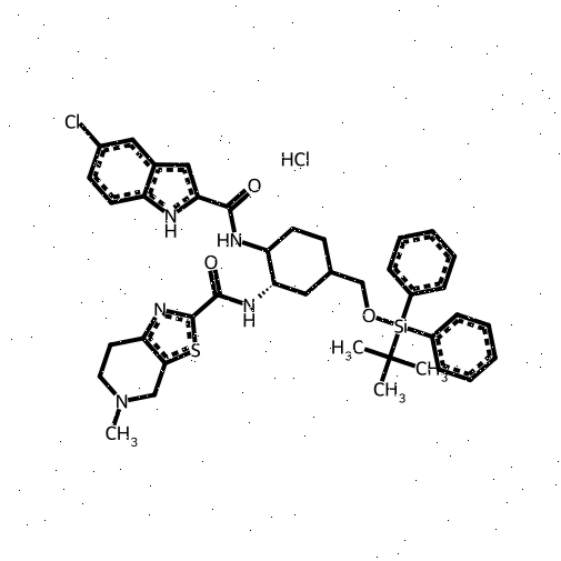 CN1CCc2nc(C(=O)N[C@H]3CC(CO[Si](c4ccccc4)(c4ccccc4)C(C)(C)C)CCC3NC(=O)c3cc4cc(Cl)ccc4[nH]3)sc2C1.Cl